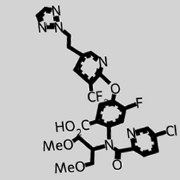 COCC(COC)N(C(=O)c1ccc(Cl)cn1)c1cc(F)c(Oc2ncc(CCn3nccn3)cc2C(F)(F)F)cc1C(=O)O